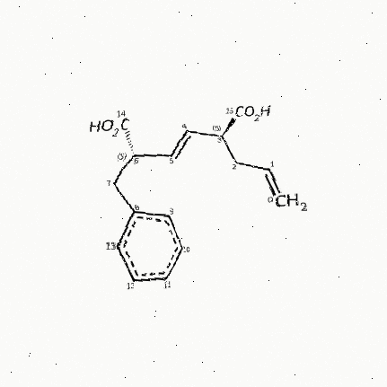 C=CC[C@@H](C=C[C@H](Cc1ccccc1)C(=O)O)C(=O)O